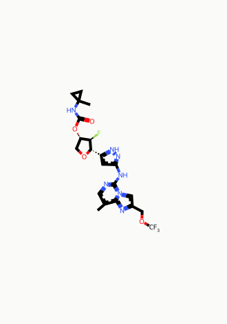 Cc1cnc(Nc2cc([C@@H]3OC[C@H](OC(=O)NC4(C)CC4)[C@H]3F)[nH]n2)n2cc(COC(F)(F)F)nc12